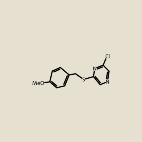 COc1ccc(CSc2cncc(Cl)n2)cc1